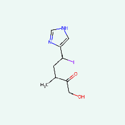 CC(CC(I)c1c[nH]cn1)C(=O)CO